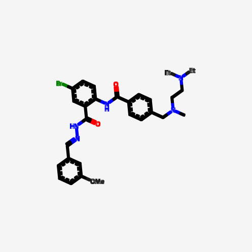 CCN(CC)CCN(C)Cc1ccc(C(=O)Nc2ccc(Br)cc2C(=O)NN=Cc2cccc(OC)c2)cc1